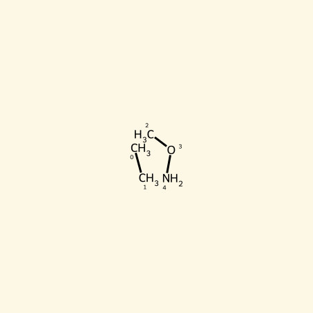 CC.CON